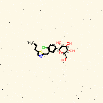 C=CCc1cnc(Cc2cc([C@@H]3O[C@H](CO)[C@@H](O)[C@H](O)[C@H]3O)ccc2Cl)s1